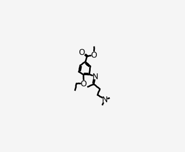 CCOc1ccc(C(=O)OC)cc1/N=C(\C)CCN(C)C